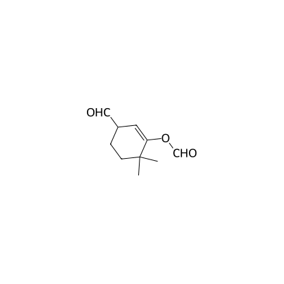 CC1(C)CCC(C=O)C=C1OC=O